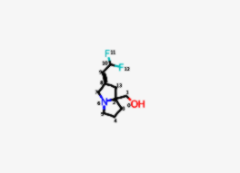 OCC12CCCN1CC(=CC(F)F)C2